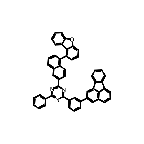 c1ccc(-c2nc(-c3cccc(-c4cc5c6c(cccc6c4)-c4ccccc4-5)c3)nc(-c3ccc4c(-c5cccc6oc7ccccc7c56)cccc4c3)n2)cc1